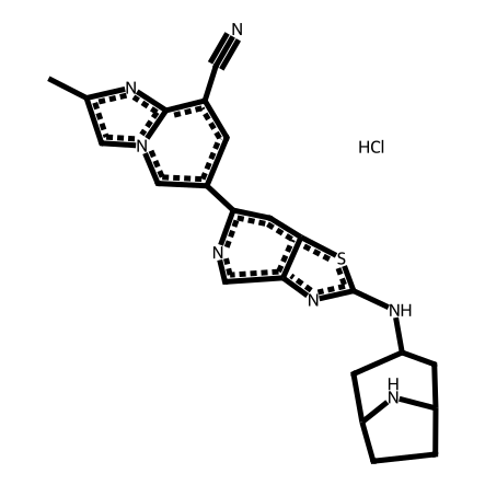 Cc1cn2cc(-c3cc4sc(NC5CC6CCC(C5)N6)nc4cn3)cc(C#N)c2n1.Cl